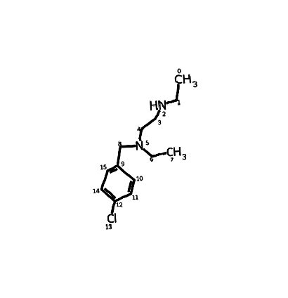 CCNCCN(CC)Cc1ccc(Cl)cc1